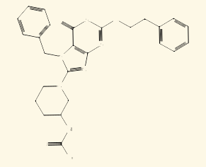 O=C(O)NC1CCCN(c2nc3nc(SCCc4ccccc4)[nH]c(=O)c3n2Cc2ccccc2)C1